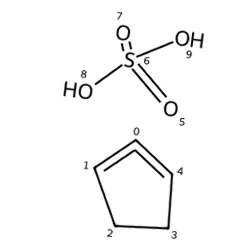 C1=CCCC=1.O=S(=O)(O)O